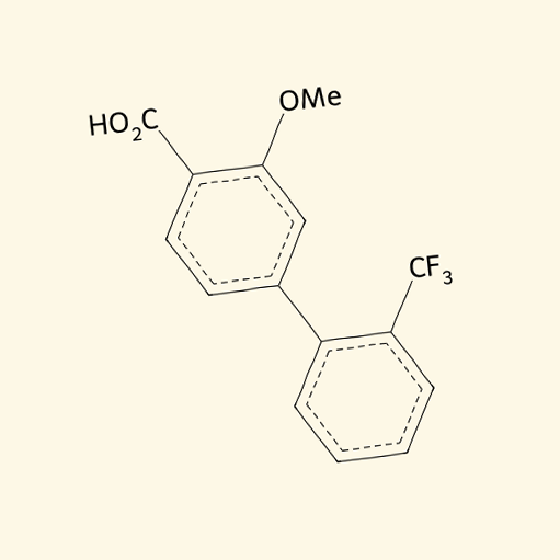 COc1cc(-c2ccccc2C(F)(F)F)ccc1C(=O)O